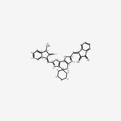 O=C1C(=O)c2ccccc2/C1=C/c1nc2c(s1)-c1sc(/C=C3\C(=O)C(O)c4ccccc43)nc1C1(CCCCC1)O2